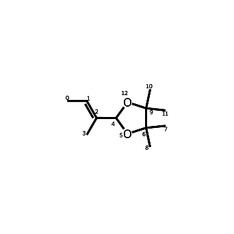 C/C=C(\C)C1OC(C)(C)C(C)(C)O1